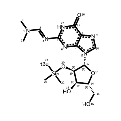 CN(C)C=Nc1nc2c(ncn2[C@@H]2O[C@H](CO)[C@@H](O)[C@H]2O[Si](C)(C)C(C)(C)C)c(=O)[nH]1